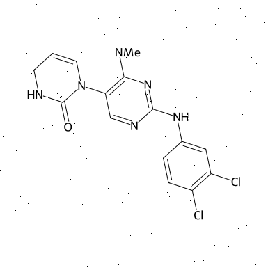 CNc1nc(Nc2ccc(Cl)c(Cl)c2)ncc1N1C=CCNC1=O